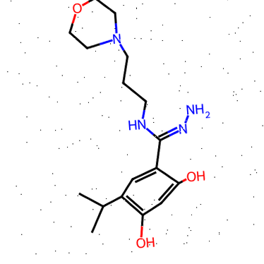 CC(C)c1cc(/C(=N/N)NCCCN2CCOCC2)c(O)cc1O